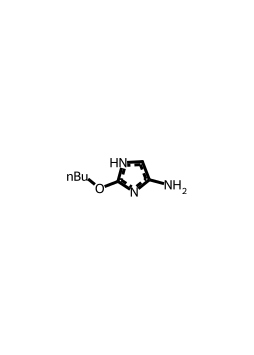 CCCCOc1nc(N)c[nH]1